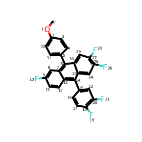 COc1ccc(-c2c3cc(F)ccc3c(-c3ccc(F)c(F)c3)c3cc(F)c(F)cc23)cc1